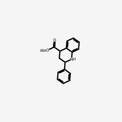 COC(=O)C1CC(c2ccccc2)Nc2ccccc21